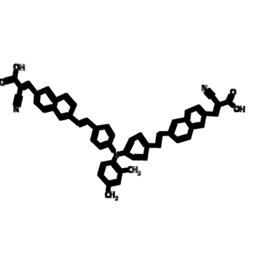 Cc1ccc(N(c2ccc(/C=C/c3ccc4cc(/C=C(\C#N)C(=O)O)ccc4c3)cc2)c2ccc(/C=C/c3ccc4cc(/C=C(\C#N)C(=O)O)ccc4c3)cc2)c(C)c1